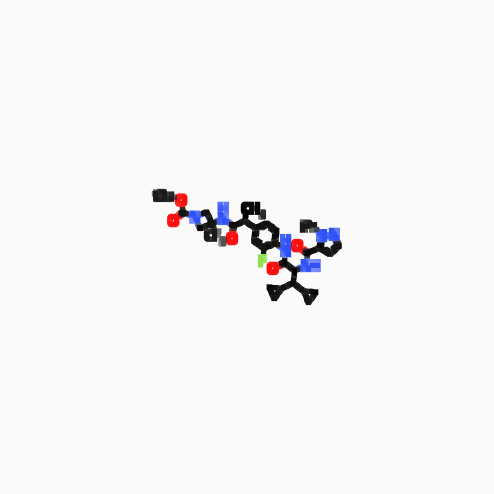 CC(C)n1nccc1C(=O)N[C@H](C(=O)Nc1ccc([C@H](C)C(=O)NC2(C(F)(F)F)CN(C(=O)OC(C)(C)C)C2)cc1F)C(C1CC1)C1CC1